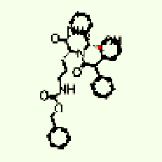 NC(=O)[C@@H](CCCNC(=O)OCc1ccccc1)N(C(=O)C(c1ccccc1)c1ccccc1)[C@@H](CO)c1ccccc1